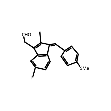 CSc1ccc(/C=C2/C(C)=C(CC=O)c3cc(F)ccc32)cc1